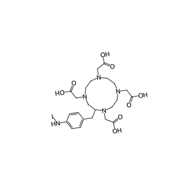 O=C(O)CN1CCN(CC(=O)O)CCN(CC(=O)O)C(Cc2ccc(NI)cc2)CN(CC(=O)O)CC1